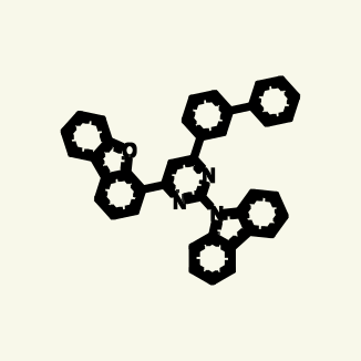 c1ccc(-c2cccc(-c3cc(-c4cccc5c4oc4ccccc45)nc(-n4c5ccccc5c5ccccc54)n3)c2)cc1